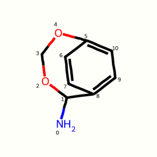 NC1OCOc2ccc1cc2